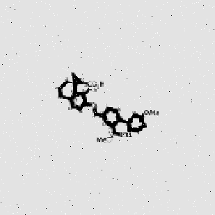 COc1ccc(F)c(-c2ccc(COc3ccc4c(c3F)[C@]3(CCC4)C[C@H]3C(=O)O)cc2[C@@H](OC)C(C)(C)C)c1